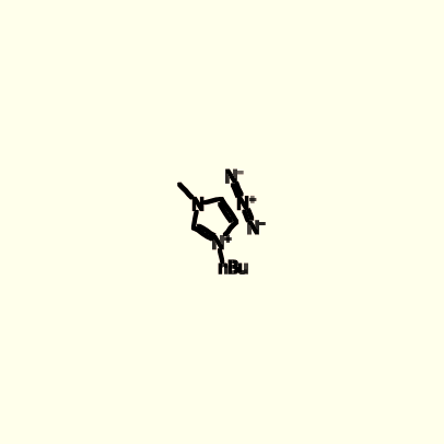 CCCC[n+]1ccn(C)c1.[N-]=[N+]=[N-]